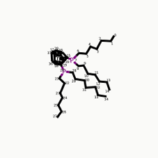 CCCCCCCP(CCCCCCC)[C]12[CH]3[CH]4[CH]5[C]1(P(CCCCCCC)CCCCCCC)[Zr]43521678[CH]2[CH]1[CH]6[CH]7[CH]28